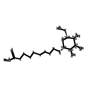 COC(=O)CCCCCCCCS[C@@H]1O[C@H](CO)[C@@H](O)[C@@H](O)[C@H]1O